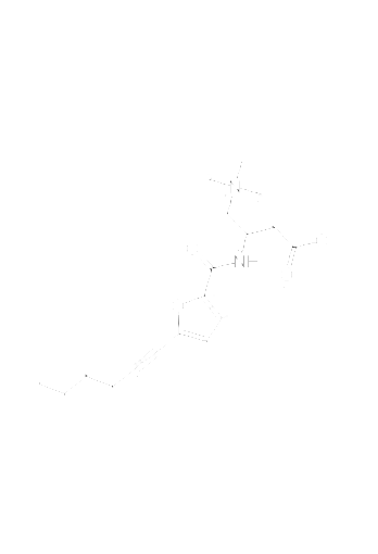 CCCCC#Cc1ccc(C(=O)NC(CC(=O)[O-])C[N+](C)(C)C)o1